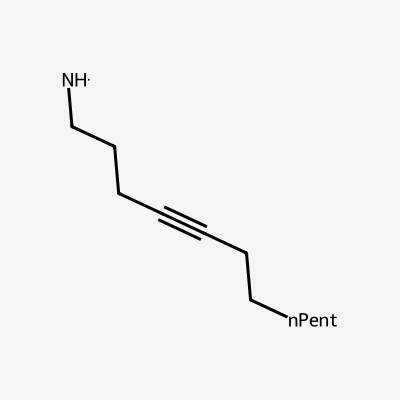 CCCCCCCC#CCCC[NH]